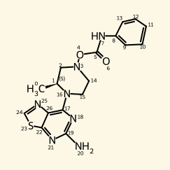 C[C@H]1CN(OC(=O)Nc2ccccc2)CCN1c1nc(N)nc2scnc12